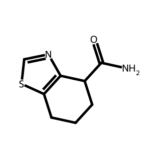 NC(=O)C1CCCc2scnc21